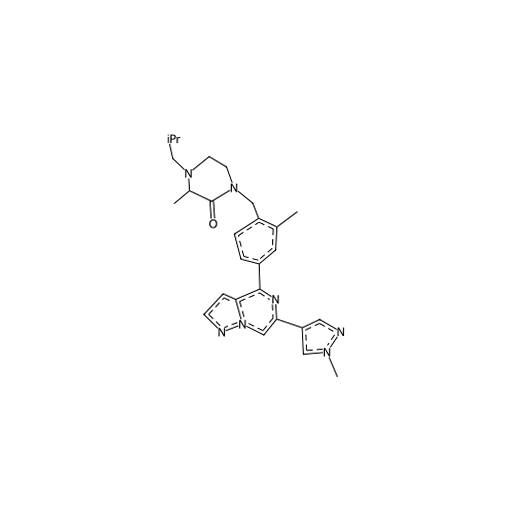 Cc1cc(-c2nc(-c3cnn(C)c3)cn3nccc23)ccc1CN1CCN(CC(C)C)C(C)C1=O